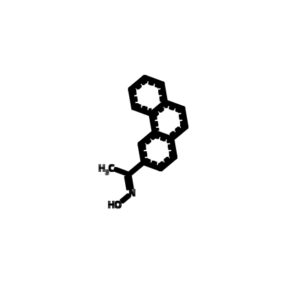 CC(=NO)c1ccc2ccc3ccccc3c2c1